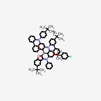 CC(C)(C)c1ccc(N(c2ccc3c(c2)N(c2ccc(C(C)(C)C)cc2-c2ccccc2)c2cc([Si](C)(C)c4ccc(F)cc4)cc4c2B3c2oc3ccc(C(C)(C)C)cc3c2N4c2ccccc2)c2ccccc2-c2ccccc2)cc1